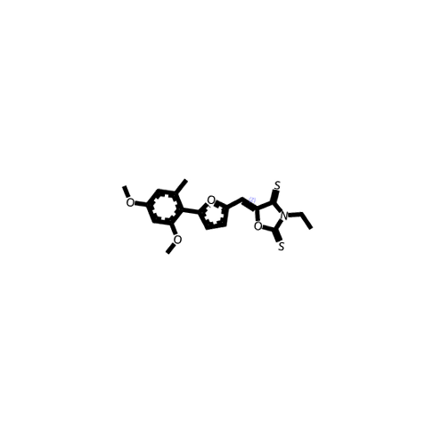 CCN1C(=S)O/C(=C\c2ccc(-c3c(C)cc(OC)cc3OC)o2)C1=S